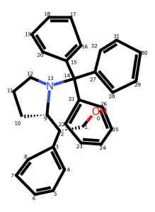 OC[C@H](c1ccccc1)[C@@H]1CCCN1C(c1ccccc1)(c1ccccc1)c1ccccc1